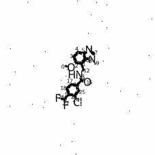 COc1ccc2ncn(C)c2c1CNC(=O)c1ccc(C(F)F)c(Cl)c1